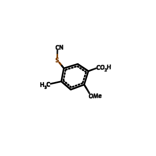 COc1cc(C)c(SC#N)cc1C(=O)O